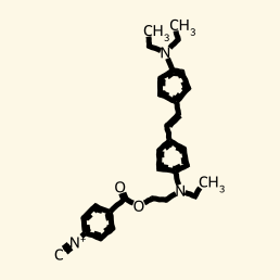 [C-]#[N+]c1ccc(C(=O)OCCN(CC)c2ccc(/C=C/c3ccc(N(CC)CC)cc3)cc2)cc1